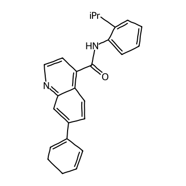 CC(C)c1ccccc1NC(=O)c1ccnc2cc(C3=CCCC=C3)ccc12